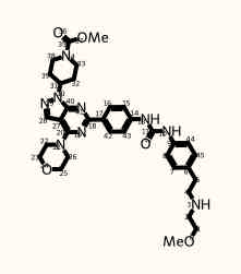 COCCNCCc1ccc(NC(=O)Nc2ccc(-c3nc(N4CCOCC4)c4cnn(C5CCN(C(=O)OC)CC5)c4n3)cc2)cc1